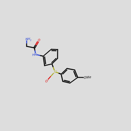 COc1ccc([S+]([O-])c2cccc(NC(=O)CN)c2)cc1